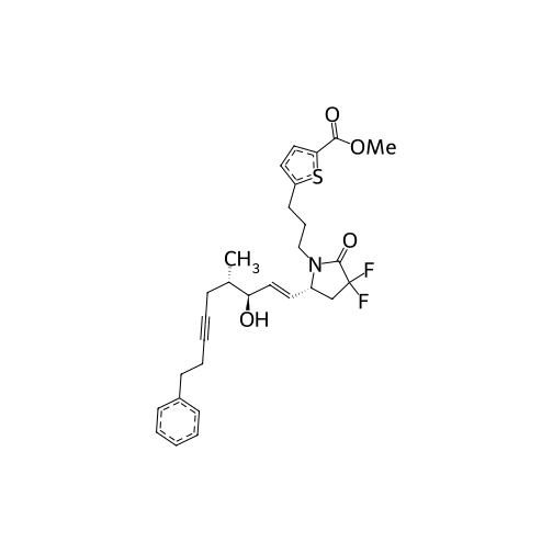 COC(=O)c1ccc(CCCN2C(=O)C(F)(F)C[C@@H]2C=C[C@@H](O)[C@@H](C)CC#CCCc2ccccc2)s1